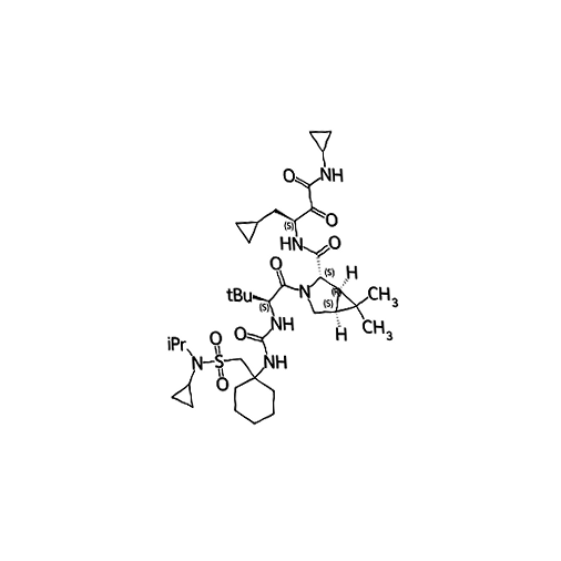 CC(C)N(C1CC1)S(=O)(=O)CC1(NC(=O)N[C@H](C(=O)N2C[C@H]3[C@@H]([C@H]2C(=O)N[C@@H](CC2CC2)C(=O)C(=O)NC2CC2)C3(C)C)C(C)(C)C)CCCCC1